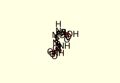 COCC[C@H](NC(=O)OC)C(=O)N1CCC[C@H]1c1nc(-c2ncc(-c3cnc(-c4c[nH]c([C@@H]5CCCN5C(=O)[C@H](CCOC)N(C)C(=O)O)n4)s3)s2)c[nH]1